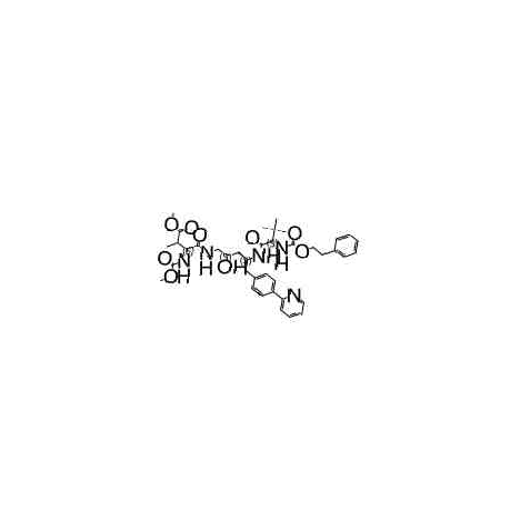 COC(=O)N[C@H](C(=O)NC[C@@H](O)C[C@H](Cc1ccc(-c2ccccn2)cc1)NC(=O)[C@@H](NC(=O)OCCc1ccccc1)C(C)(C)C)C(C)C(=O)OC